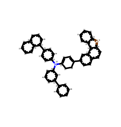 C1=C(c2ccc3ccc4sc5ccccc5c4c3c2)CCC(N(c2ccc(-c3cccc4ccccc34)cc2)c2cccc(-c3ccccc3)c2)=C1